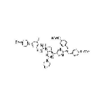 CCN1CCN(c2cc(F)c(NC(=O)N3CCc4c(-c5cnc(N(Cc6ccc(OC)cc6)Cc6ccc(OC)cc6)nc5)nc(N5CCOCC5)nc43)c(F)c2)CC1